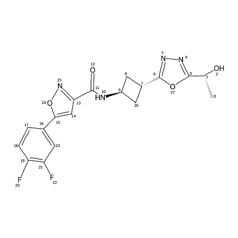 C[C@@H](O)c1nnc([C@H]2C[C@H](NC(=O)c3cc(-c4ccc(F)c(F)c4)on3)C2)o1